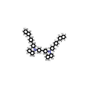 c1ccc2cc(-c3ccc(-c4ccc(N(c5ccc(-c6ccc(N(c7ccc(-c8ccc(-c9ccc%10ccccc%10c9)cc8)cc7)c7cccc8ccccc78)cc6)cc5)c5cccc6ccccc56)cc4)cc3)ccc2c1